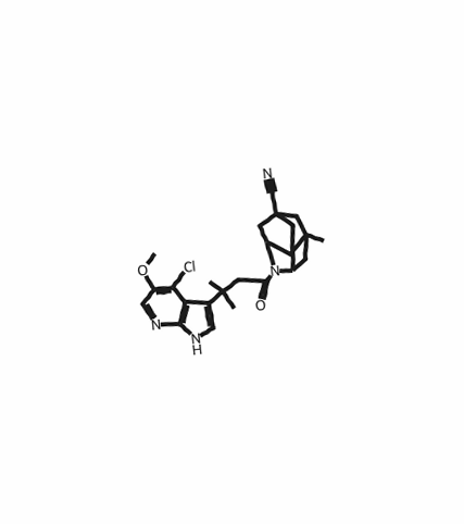 COc1cnc2[nH]cc(C(C)(C)CC(=O)N3C4CC5(C)CC3CC(C#N)(C4)C5)c2c1Cl